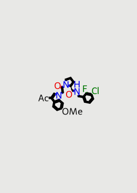 COc1ccc2c(C(C)=O)cn(CC(=O)N3CCC[C@H]3C(=O)NCc3cccc(Cl)c3F)c2c1